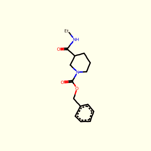 CCNC(=O)C1CCCN(C(=O)OCc2ccccc2)C1